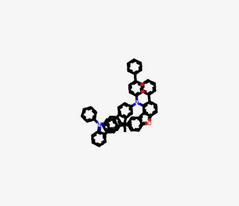 CC1(C)c2ccccc2-c2ccc(N(c3ccc(-c4ccccc4)cc3)c3c(-c4ccccc4)ccc4oc5ccc(-c6ccc7c(c6)c6ccccc6n7-c6ccccc6)cc5c34)cc21